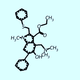 CCOC(=O)c1c(CSc2ccccc2)n(C)c2cc(-c3ccccc3)c(O)c(CN(C)C)c12